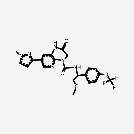 COCC(NC(=O)N1CC(=O)Nc2cc(-c3ccn(C)n3)cnc21)c1ccc(OC(F)(F)F)cc1